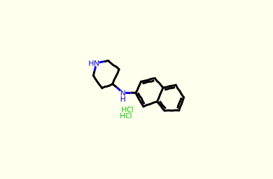 Cl.Cl.c1ccc2cc(NC3CCNCC3)ccc2c1